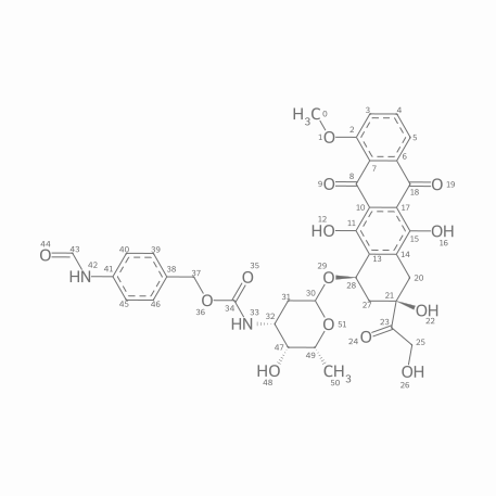 COc1cccc2c1C(=O)c1c(O)c3c(c(O)c1C2=O)C[C@](O)(C(=O)CO)C[C@H]3OC1C[C@@H](NC(=O)OCc2ccc(NC=O)cc2)[C@@H](O)[C@@H](C)O1